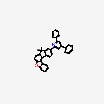 CC1(C)c2cc(-c3cc(-c4ccccc4)cc(-c4ccccc4)n3)ccc2-c2c1ccc1oc3ccccc3c21